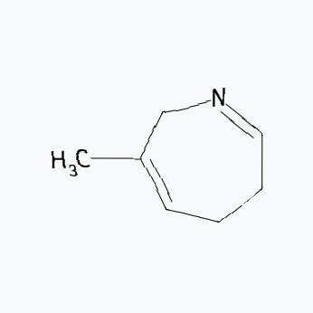 CC1=CCCC=NC1